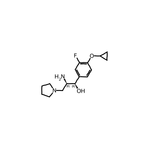 N[C@H](CN1CCCC1)[C@H](O)c1ccc(OC2CC2)c(F)c1